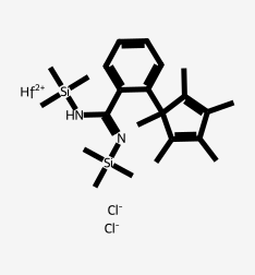 CC1=C(C)C(C)(c2ccccc2C(=N[Si](C)(C)C)N[Si](C)(C)C)C(C)=C1C.[Cl-].[Cl-].[Hf+2]